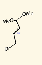 COC(/C=C/CBr)OC